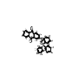 O=C1c2ccccc2C(=O)c2cc(S(=O)OS(c3ccccc3)(c3ccccc3)c3ccccc3)ccc21